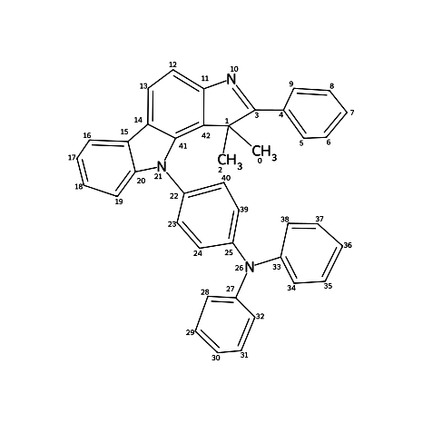 CC1(C)C(c2ccccc2)=Nc2ccc3c4ccccc4n(-c4ccc(N(c5ccccc5)c5ccccc5)cc4)c3c21